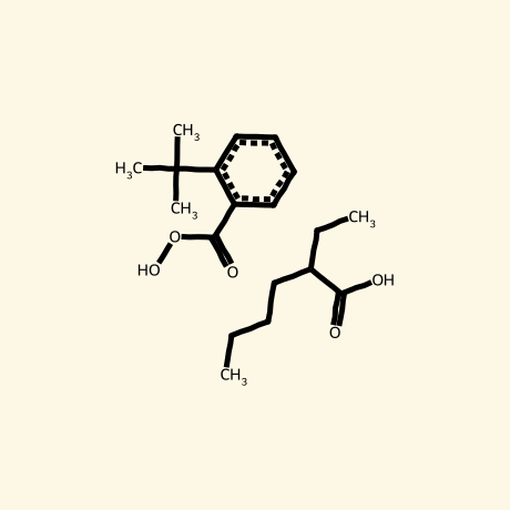 CC(C)(C)c1ccccc1C(=O)OO.CCCCC(CC)C(=O)O